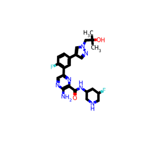 CC(C)(O)Cn1cc(-c2ccc(F)c(-c3cnc(N)c(C(=O)NC4CNCC(F)C4)n3)c2)cn1